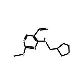 CSc1ncc(C=O)c(NCC2CCOC2)n1